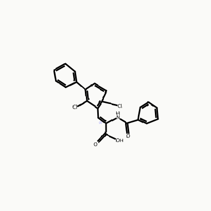 O=C(O)/C(=C/c1c(Cl)ccc(-c2ccccc2)c1Cl)NC(=O)c1ccccc1